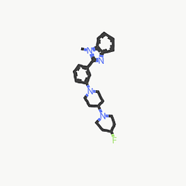 Cn1c(-c2cccc(N3CCC(N4CCC(F)CC4)CC3)c2)nc2ccccc21